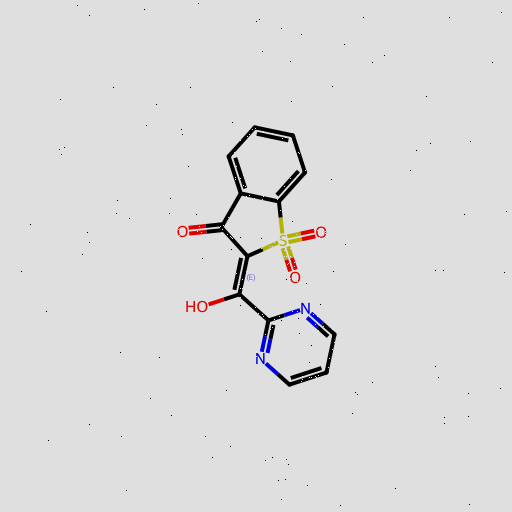 O=C1/C(=C(\O)c2ncccn2)S(=O)(=O)c2ccccc21